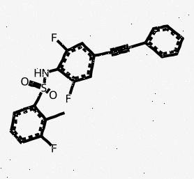 Cc1c(F)cccc1S(=O)(=O)Nc1c(F)cc(C#Cc2ccccc2)cc1F